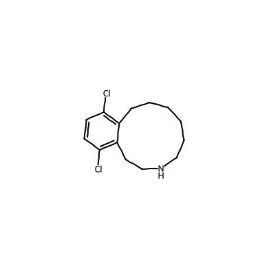 Clc1ccc(Cl)c2c1CCCCCCNCC2